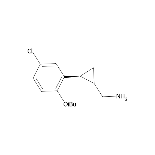 CC(C)COc1ccc(Cl)cc1[C@H]1CC1CN